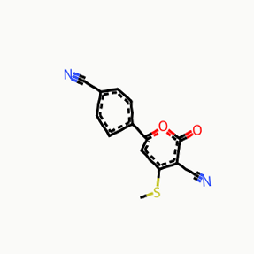 CSc1cc(-c2ccc(C#N)cc2)oc(=O)c1C#N